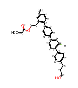 C=CC(=O)OCCc1cc(C)ccc1-c1ccc(-c2ccc(-c3ccc(CCCO)cc3)c(F)c2)cc1